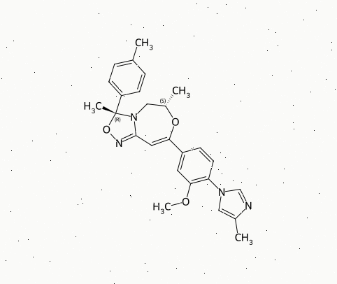 COc1cc(C2=CC3=NO[C@](C)(c4ccc(C)cc4)N3C[C@H](C)O2)ccc1-n1cnc(C)c1